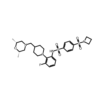 C[C@@H]1CN(CC2CCN(c3c(F)cccc3NS(=O)(=O)c3ccc(S(=O)(=O)N4CCC4)cc3)CC2)C[C@H](C)O1